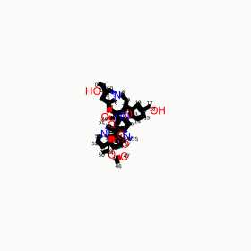 CC[C@]1(O)C[C@H]2CN(CCc3c([nH]c4ccc(CO)cc34)[C@@](C(=O)OC)(c3cc4c(cc3OC)N(C)[C@@]35O[C@]3(C(=O)OC)[C@H](OC(C)=O)[C@]3(CC)C=CCN6CC[C@]45[C@@H]63)C2)C1